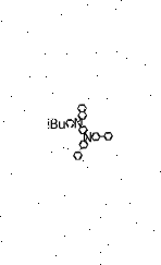 CCC(C)c1ccc(N(c2ccc(N(c3ccc(-c4ccccc4)cc3)c3ccc(-c4ccccc4)cc3)cc2)c2ccc3ccccc3c2)cc1